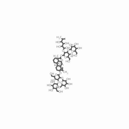 C=C1C[C@@]23CCC4[C@](C)(C(=O)OC5OC(CO)C(O)C(OC6OC(CO)C(O)C(O)C6O)C5OC(O)C(O)C(O)C(O)C(C)I)CCC[C@@]4(C)[C@@H]2CC[C@]1(OC1OC(CO)C(O)C(OC2OC(CO)C(O)C(O)C2O)C1OC1OC(CO)C(O)C(O)C1O)C3